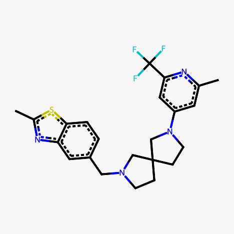 Cc1cc(N2CCC3(CCN(Cc4ccc5sc(C)nc5c4)C3)C2)cc(C(F)(F)F)n1